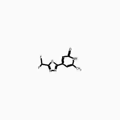 Cc1cc(-c2nnc(C(F)F)o2)cc(=O)[nH]1